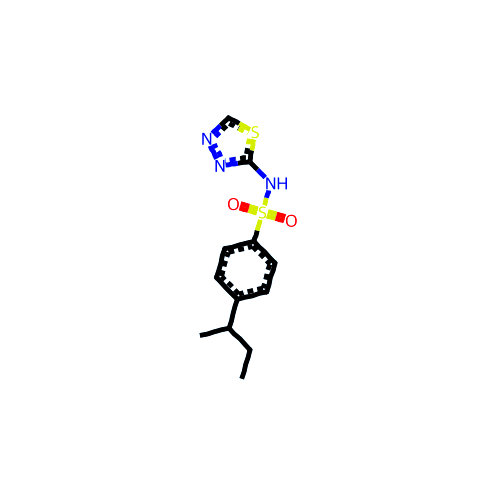 CCC(C)c1ccc(S(=O)(=O)Nc2nncs2)cc1